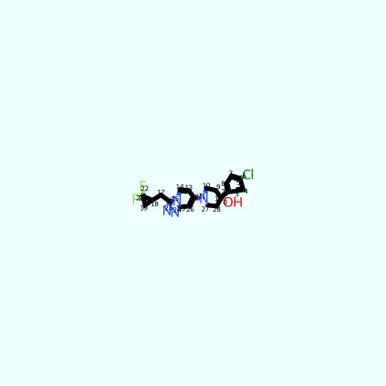 OC1(c2ccc(Cl)cc2)CCN(c2ccn3c(CC4CC4(F)F)nnc3c2)CC1